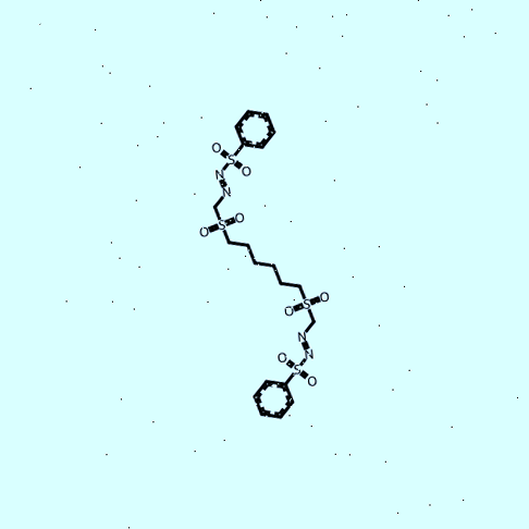 O=S(=O)(CCCCCCS(=O)(=O)C/N=N/S(=O)(=O)c1ccccc1)C/N=N/S(=O)(=O)c1ccccc1